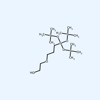 C[Si](C)(C)O[Si](CCCOCCO)(O[Si](C)(C)C)O[Si](C)(C)C